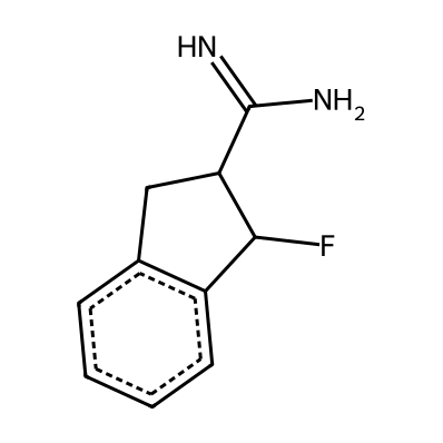 N=C(N)C1Cc2ccccc2C1F